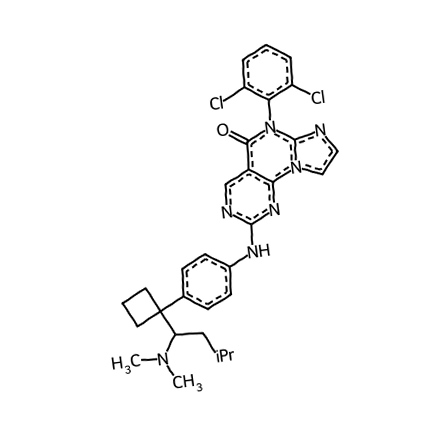 CC(C)CC(N(C)C)C1(c2ccc(Nc3ncc4c(=O)n(-c5c(Cl)cccc5Cl)c5nccn5c4n3)cc2)CCC1